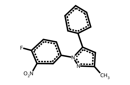 Cc1cc(-c2ccccc2)n(-c2ccc(F)c([N+](=O)[O-])c2)n1